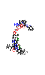 CC(C)(C)[C@H](NC(=O)COCCOc1ccc(-c2ncc(N3C(=S)N(c4ccc(C#N)c(C(F)(F)F)c4F)C(=O)C3(C)C)cc2F)cc1F)C(=O)N1CCC[C@H]1C(=O)NCc1ccccc1